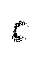 CC(C)(Oc1cccc(OCCCOc2ccc(OS(C)(=O)=O)cc2)c1)C(=O)O